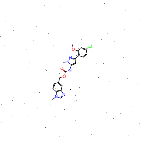 COc1cc(Cl)ccc1-c1cc(NC(=O)OCc2ccc3c(c2)ncn3C)n(C)n1